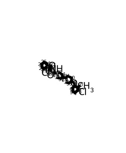 Cc1c(Cl)cccc1OC1CCN(C2CCN(C(=O)NS(=O)(=O)c3ccccc3Cl)CC2)CC1